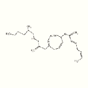 C=C(CNCC(C)CCCC)C/C1=C/C=CC(OC(=C)C=CC/C=C\C)C=CC1